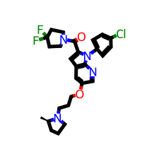 C[C@@H]1CCCN1CCCOc1cnc2c(c1)cc(C(=O)N1CCC(F)(F)CC1)n2-c1ccc(Cl)cc1